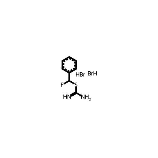 Br.Br.N=C(N)SC(F)c1ccccc1